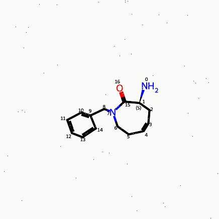 N[C@H]1CC=CCCN(Cc2ccccc2)C1=O